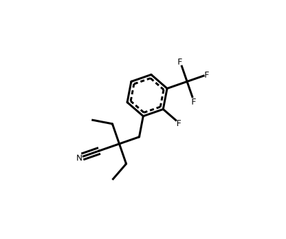 CCC(C#N)(CC)Cc1cccc(C(F)(F)F)c1F